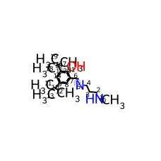 CNCCC/N=C/c1cc(C(C)(C)C)cc(C(C)(C)C)c1O